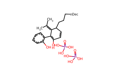 CCCCCCCCCCCCCC1C=CC(O)=C(c2ccccc2O)C1=C(C)C.O=P(O)(O)O.O=P(O)(O)O